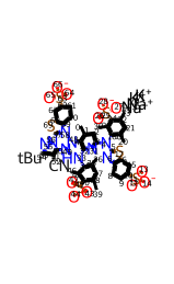 Cc1cc(N(c2nc3ccc(S(=O)(=O)[O-])cc3s2)c2c(C)cc(C)c(S(=O)(=O)[O-])c2C)nc(Nc2c(C)cc(C)c(S(=O)(=O)[O-])c2C)c1/N=N/c1c(C#N)c(C(C)(C)C)nn1-c1nc2ccc(S(=O)(=O)[O-])cc2s1.[K+].[K+].[Na+].[Na+]